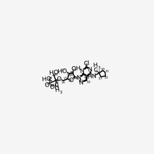 CC1(Nc2nc(Cl)nc3c2cnn3[C@@H]2OC(COC(C)(CO)P(=O)(O)O)[C@@H](O)[C@H]2O)CCCC1